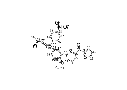 CCn1c2ccc(C(=O)c3cccs3)cc2c2cc(/C(=N/OC(C)=O)c3ccc([N+](=O)[O-])cc3)ccc21